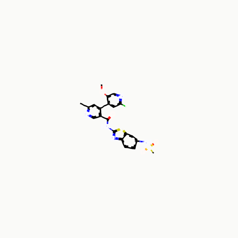 COc1cnc(Cl)cc1-c1cc(C)ncc1C(=O)Nc1nc2ccc(NS(C)(=O)=O)cc2s1